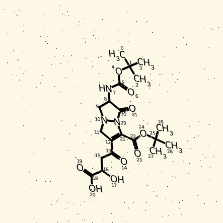 CC(C)(C)OC(=O)NC1CN2CC(C(=O)CC(O)C(=O)O)=C(C(=O)OC(C)(C)C)N2C1=O